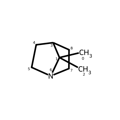 CC1(C)C2CCN1CC2